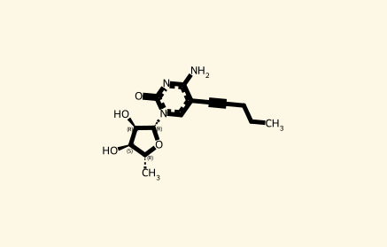 CCCC#Cc1cn([C@@H]2O[C@H](C)[C@@H](O)[C@H]2O)c(=O)nc1N